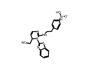 N#CCC1C=CN=C(NCCc2ccc([NH+]([O-])O)cc2)N1c1nc2ccccc2s1